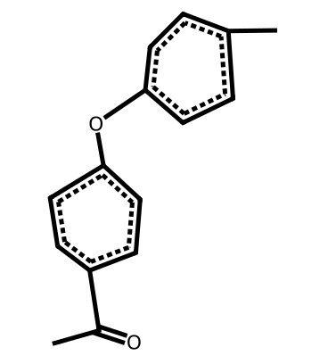 CC(=O)c1ccc(Oc2ccc(C)cc2)cc1